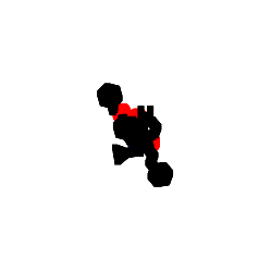 c1ccc(CCCO[C@@]23CCC[C@@H]4Oc5c(OCc6ccccc6)ccc6c5[C@@]42CCN(CC2CC2)[C@@H]3C6)cc1